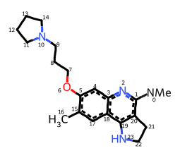 CNc1nc2cc(OCCCN3CCCC3)c(C)cc2c2c1CCN2